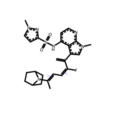 C=C(/C(F)=C\C=C(/C)N1C2CCC1CC2)c1cn(C)c2nccc(NS(=O)(=O)c3ccn(C)n3)c12